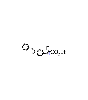 CCOC(=O)/C(F)=C/c1ccc(OCc2ccccc2)cc1